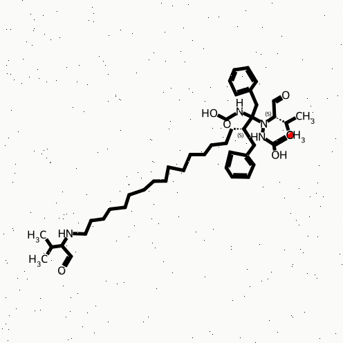 CC(C)C(C=O)NCCCCCCCCCCCCCCCC[C@@H](Cc1ccccc1)C(Cc1ccccc1)(NC(=O)O)N(NC(=O)O)[C@H](C=O)C(C)C